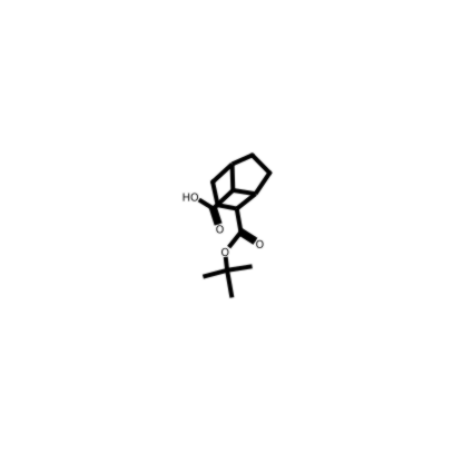 CC(C)(C)OC(=O)C1CCC2CCC1C2C(=O)O